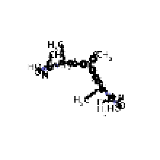 CCCCCCc1cc(/C=C/c2ccc(/C=C(\C#N)C(=O)O)n2CCCC)sc1-c1cc2sc(-c3ccc(N(c4ccc(OC)cc4)c4ccc(-c5cc6sc(-c7sc(/C=C/c8ccc(/C=C(\C#N)C(=O)O)n8CCCC)cc7CCCCCC)cc6s5)cc4)cc3)cc2s1